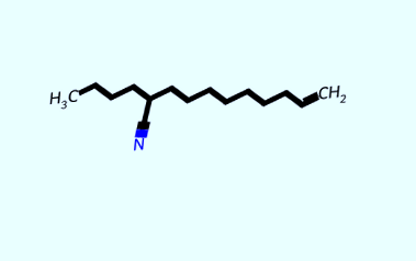 C=CCCCCCCCC(C#N)CCCC